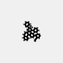 N#Cc1ccccc1-c1ccc(-c2c(C(/N=C(\N)c3ccccc3)=N/Cc3ccccc3)ccc3ccccc23)cc1